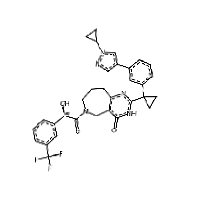 O=C([C@H](O)c1cccc(C(F)(F)F)c1)N1CCCc2nc(C3(c4cccc(-c5cnn(C6CC6)c5)c4)CC3)[nH]c(=O)c2C1